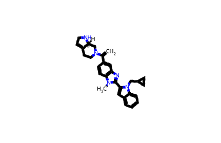 C=C(c1ccc2c(c1)nc(-c1cc3ccccc3n1CC1CC1)n2C)N1CCC2=CCN[C@@H]2C1